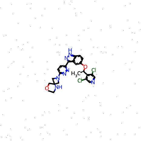 C[C@@H](Oc1ccc2[nH]nc(-c3ccc(N4CC5(COCCN5)C4)nn3)c2c1)c1c(Cl)cncc1Cl